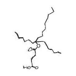 CCCCCCCCCC(CCCCCC)(CCCCCC)OC(=O)CCC(=O)O